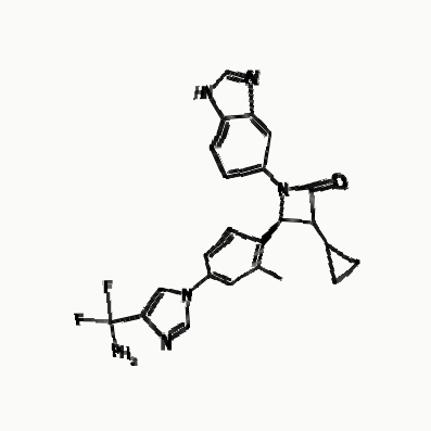 Cc1cc(-n2cnc(C(F)(F)P)c2)ccc1[C@@H]1C(C2CC2)C(=O)N1c1ccc2[nH]cnc2c1